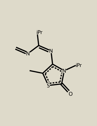 C=N/C(=N\c1c(C)sc(=O)n1C(C)C)C(C)C